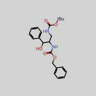 CC(C)(C)OC(=O)NCC(NC(=O)OCc1ccccc1)C(O)c1ccccc1